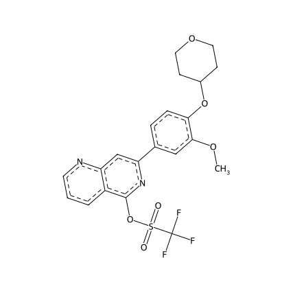 COc1cc(-c2cc3ncccc3c(OS(=O)(=O)C(F)(F)F)n2)ccc1OC1CCOCC1